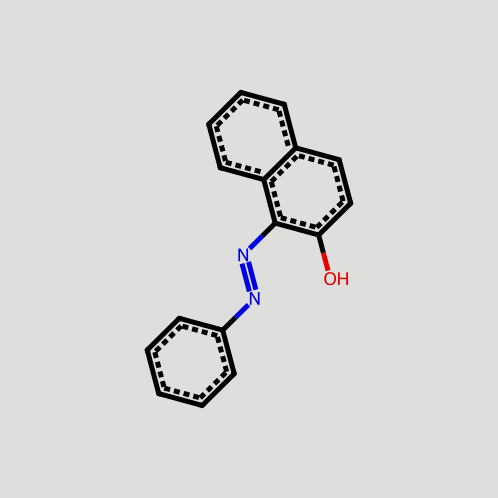 Oc1ccc2ccccc2c1N=Nc1ccccc1